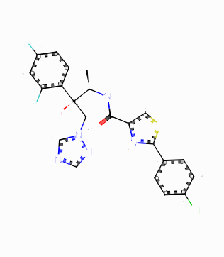 C[C@@H](NC(=O)c1csc(-c2ccc(Cl)cc2)n1)[C@](O)(Cn1cncn1)c1ccc(F)cc1F